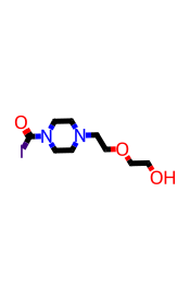 O=C(I)N1CCN(CCOCCO)CC1